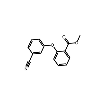 COC(=O)c1ccccc1Oc1cccc(C#N)c1